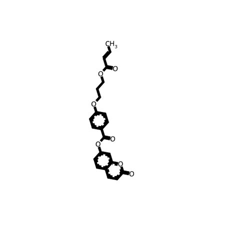 CC=CC(=O)OCCCOc1ccc(C(=O)Oc2ccc3ccc(=O)oc3c2)cc1